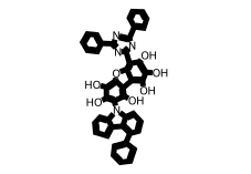 Oc1c(-n2c3ccccc3c3c(-c4ccccc4)cccc32)c(O)c2c(oc3c(-c4nc(-c5ccccc5)nc(-c5ccccc5)n4)c(O)c(O)c(O)c32)c1O